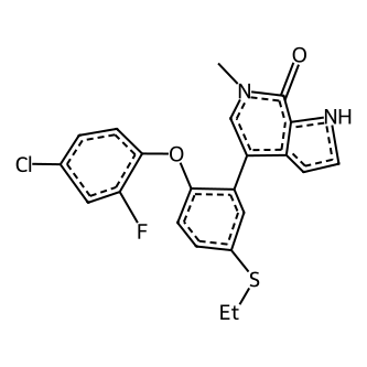 CCSc1ccc(Oc2ccc(Cl)cc2F)c(-c2cn(C)c(=O)c3[nH]ccc23)c1